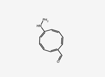 O=Cc1ccccc(NP)cccc1